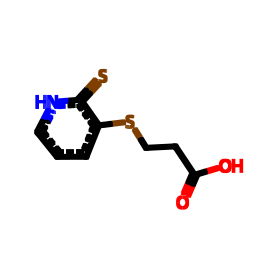 O=C(O)CCSc1ccc[nH]c1=S